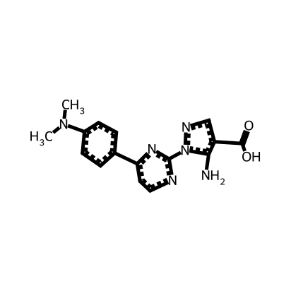 CN(C)c1ccc(-c2ccnc(-n3ncc(C(=O)O)c3N)n2)cc1